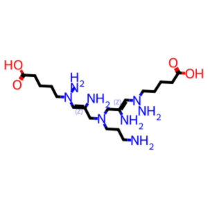 NCCCN(C/C(N)=C/N(N)CCCCC(=O)O)C/C(N)=C/N(N)CCCCC(=O)O